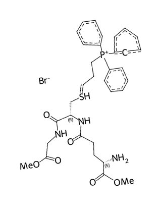 COC(=O)CNC(=O)[C@H](C[SH]=CCC[P+](c1ccccc1)(c1ccccc1)c1ccccc1)NC(=O)CC[C@H](N)C(=O)OC.[Br-]